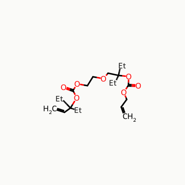 C=CCOC(=O)OC(CC)(CC)COCCOC(=O)OC(C=C)(CC)CC